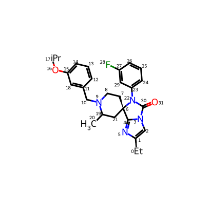 CCc1cn2c(n1)[C@@]1(CCN(Cc3cccc(OC(C)C)c3)C(C)C1)N(c1cccc(F)c1)C2=O